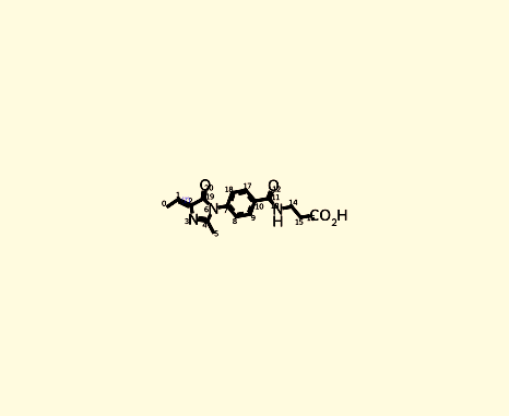 C/C=C1\N=C(C)N(c2ccc(C(=O)NCCC(=O)O)cc2)C1=O